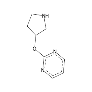 c1cnc(OC2CCNC2)nc1